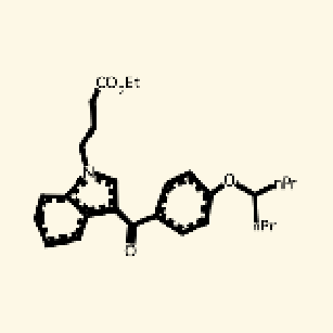 CCCC(CCC)Oc1ccc(C(=O)c2cn(CCCC(=O)OCC)c3ccccc23)cc1